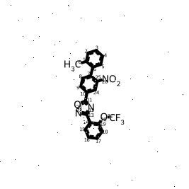 Cc1ccccc1-c1ccc(-c2nc(-c3ccccc3OC(F)(F)F)no2)cc1[N+](=O)[O-]